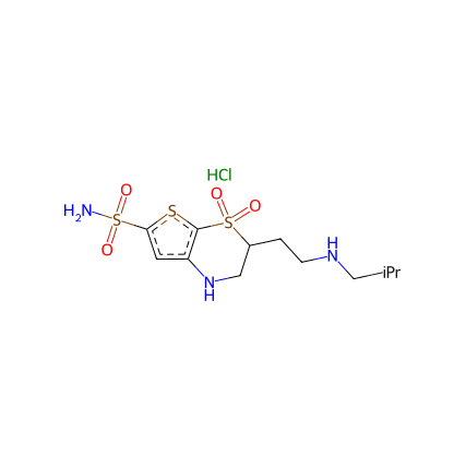 CC(C)CNCCC1CNc2cc(S(N)(=O)=O)sc2S1(=O)=O.Cl